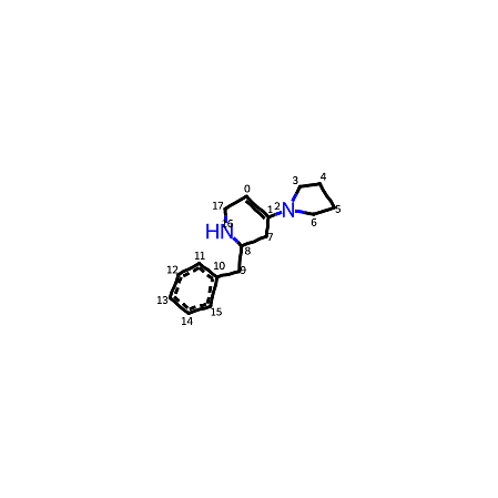 C1=C(N2CCCC2)CC(Cc2ccccc2)NC1